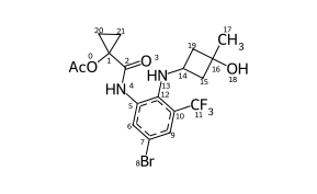 CC(=O)OC1(C(=O)Nc2cc(Br)cc(C(F)(F)F)c2NC2CC(C)(O)C2)CC1